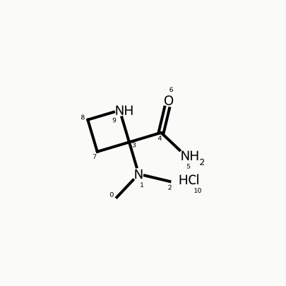 CN(C)C1(C(N)=O)CCN1.Cl